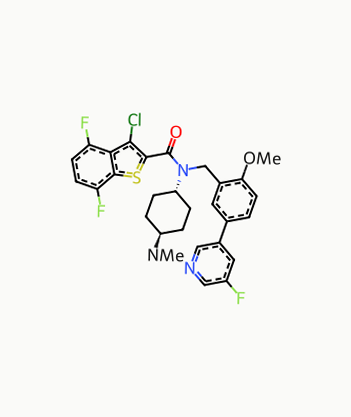 CN[C@H]1CC[C@H](N(Cc2cc(-c3cncc(F)c3)ccc2OC)C(=O)c2sc3c(F)ccc(F)c3c2Cl)CC1